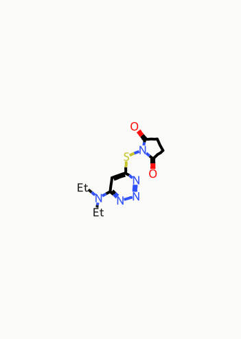 CCN(CC)c1cc(SN2C(=O)CCC2=O)nnn1